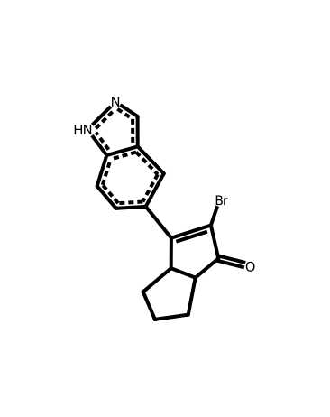 O=C1C(Br)=C(c2ccc3[nH]ncc3c2)C2CCCC12